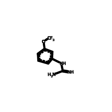 N=C(N)Nc1cccc(OC(F)(F)F)c1